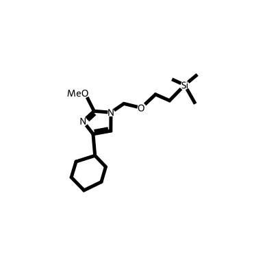 COc1nc(C2CCCCC2)cn1COCC[Si](C)(C)C